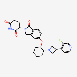 O=C1CC[C@H](N2Cc3cc(O[C@@H]4CCCC[C@H]4N4CC(c5ccncc5F)C4)ccc3C2=O)C(=O)N1